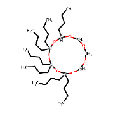 CCCC[SiH]1O[SiH2]O[SiH2]O[SiH2]O[Si](CCCC)(CCCC)O[Si](CCCC)(CCCC)O[Si](CCCC)(CCCC)O1